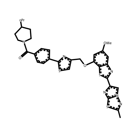 CCCC1CCN(C(=O)c2ccc(-c3nc(COc4cc(OC)cc5nc(-c6cn7nc(C)sc7n6)sc45)cs3)cc2)CC1